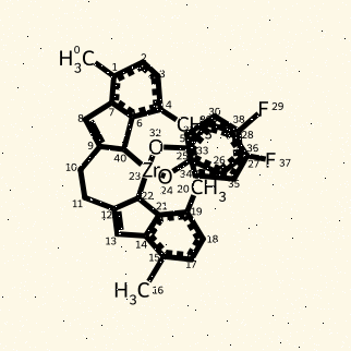 Cc1ccc(C)c2c1C=C1CCC3=Cc4c(C)ccc(C)c4[CH]3[Zr]([O]c3ccc(F)cc3)([O]c3ccc(F)cc3)[CH]12